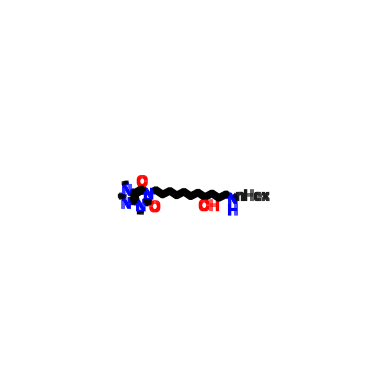 CCCCCCNCCCC(O)CCCCCCCn1c(=O)c2c(ncn2C)n(C)c1=O